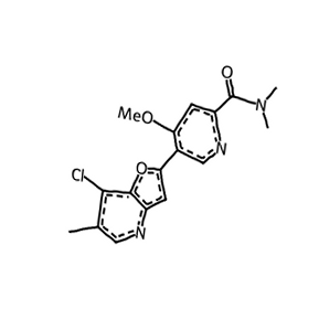 COc1cc(C(=O)N(C)C)ncc1-c1cc2ncc(C)c(Cl)c2o1